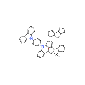 CC1(C)c2ccccc2-c2ccc(-c3ccccc3N(c3ccc(-n4c5ccccc5c5ccccc54)cc3)c3cccc(-c4cccc5c4ccc4ccccc45)c3)cc21